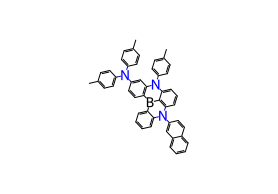 Cc1ccc(N(c2ccc(C)cc2)c2ccc3c(c2)N(c2ccc(C)cc2)c2cccc4c2B3c2ccccc2N4c2ccc3ccccc3c2)cc1